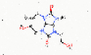 CCN1C(=O)N(COC)C2C1N(CCO)C(=O)N2CCO